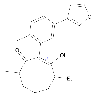 CCC1CCCC(C)C(=O)/C(c2cc(-c3ccoc3)ccc2C)=C\1O